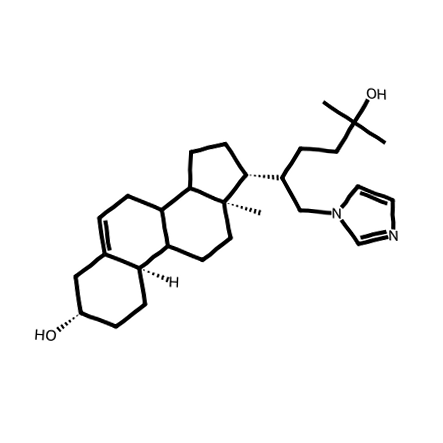 CC(C)(O)CCC(Cn1ccnc1)[C@H]1CCC2C3CC=C4C[C@@H](O)CC[C@@H]4C3CC[C@@]21C